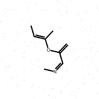 C=C(/C=N\C)O/C(C)=C/C